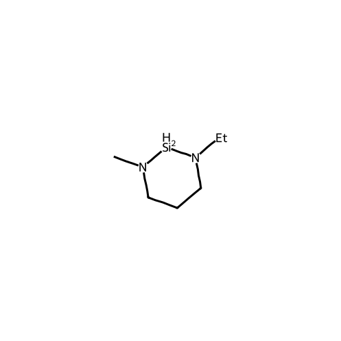 CCN1CCCN(C)[SiH2]1